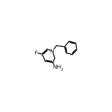 NC1=CC(F)=CN(Cc2ccccc2)C1